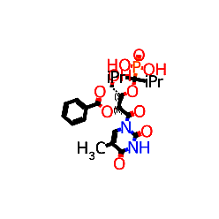 Cc1cn(C(=O)[C@H](OC(=O)c2ccccc2)[C@H](CO)OC(C(C)C)(C(C)C)P(=O)(O)O)c(=O)[nH]c1=O